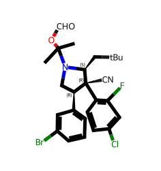 CC(C)(C)C[C@@H]1N(C(C)(C)OC=O)C[C@H](c2cccc(Br)c2)[C@@]1(C#N)c1ccc(Cl)cc1F